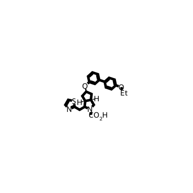 CCOc1ccc(-c2cccc(O[C@H]3C[C@H]4CN(C(=O)O)C(Cc5nccs5)[C@H]4C3)c2)cc1